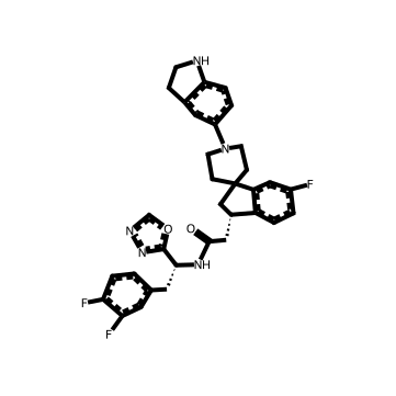 O=C(C[C@@H]1CC2(CCN(c3ccc4c(c3)CCN4)CC2)c2cc(F)ccc21)N[C@H](Cc1ccc(F)c(F)c1)c1nnco1